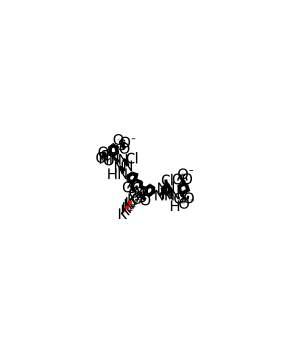 O=S(=O)([O-])c1ccc(S(=O)(=O)[O-])c(Nc2nc(Cl)nc(Nc3ccc(C=Cc4ccc(Nc5nc(Cl)nc(Nc6cc(S(=O)(=O)[O-])ccc6S(=O)(=O)[O-])n5)cc4S(=O)(=O)[O-])c(S(=O)(=O)[O-])c3)n2)c1.[K+].[K+].[K+].[K+].[K+].[K+]